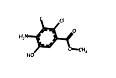 COC(=O)c1cc(O)c(N)c(I)c1Cl